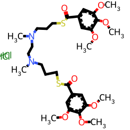 COc1cc(C(=O)SCCCN(C)CCN(C)CCCSC(=O)c2cc(OC)c(OC)c(OC)c2)cc(OC)c1OC.Cl.Cl